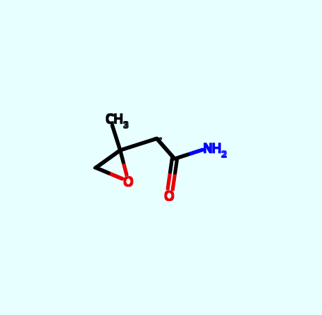 CC1([CH]C(N)=O)CO1